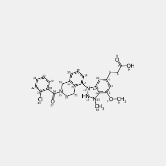 COc1cc(CCC(=O)O)cc2c1N(C)NN2c1cccc2c1CCN(C(=O)c1ccccc1Cl)C2